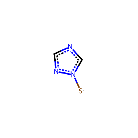 [S]n1cncn1